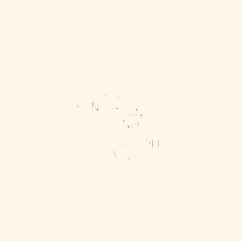 Cc1ccc(-c2noc(C(O)c3ccccc3)n2)cc1[N+](=O)[O-]